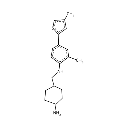 Cc1csc(-c2ccc(NCC3CCC(N)CC3)c(C)c2)c1